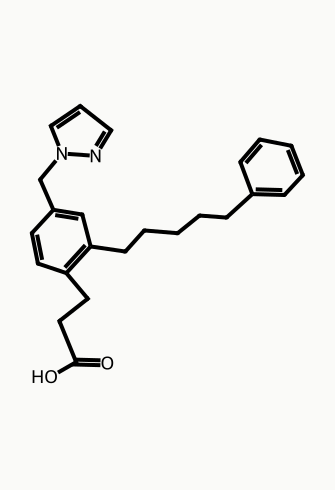 O=C(O)CCc1ccc(Cn2cccn2)cc1CCCCCc1ccccc1